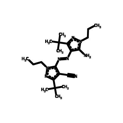 CCCn1nc(C(C)(C)C)c(N=Nc2c(C#N)c(C(C)(C)C)nn2CCC)c1N